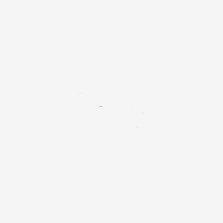 CC(C)(C)OC(=O)N[C@H]1CC[C@@H](Nc2cncc(Cl)n2)CC1